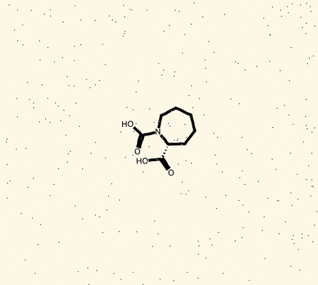 O=C(O)[C@H]1CCCCCN1C(=O)O